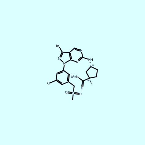 CNC(=O)[C@]1(C)CC[C@@H](Nc2ncc3c(Br)nn(-c4cc(Cl)cc(CS(C)(=O)=O)c4)c3n2)C1